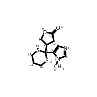 Cn1cncc1C1(C2COC(=O)C2)SCCCS1